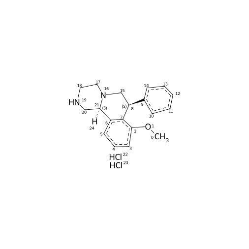 COc1cccc2c1[C@H](c1ccccc1)CN1CCNC[C@H]21.Cl.Cl